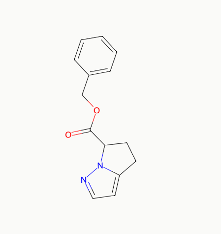 O=C(OCc1ccccc1)C1CCc2ccnn21